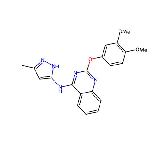 COc1ccc(Oc2nc(Nc3cc(C)n[nH]3)c3ccccc3n2)cc1OC